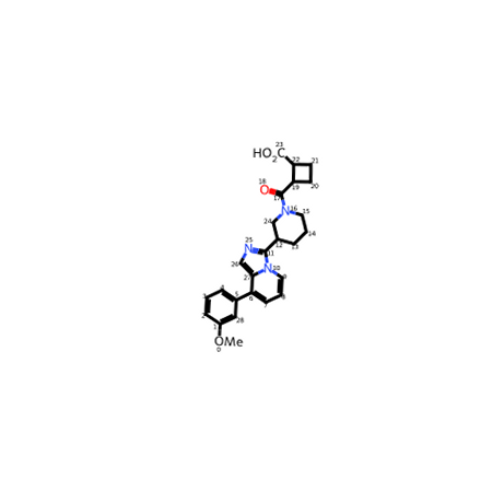 COc1cccc(-c2cccn3c(C4CCCN(C(=O)C5CCC5C(=O)O)C4)ncc23)c1